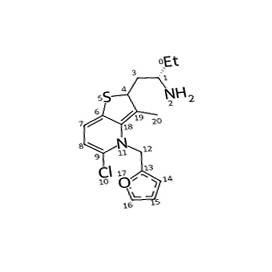 CC[C@H](N)CC1SC2=CC=C(Cl)N(Cc3ccco3)C2=C1C